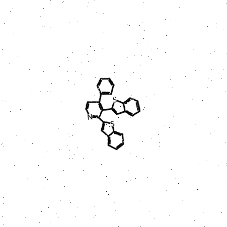 c1ccc(-c2ccnc(-c3cc4ccccc4s3)c2-c2cc3ccccc3s2)cc1